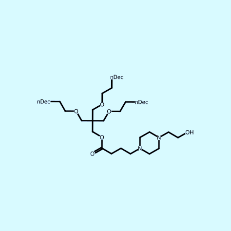 CCCCCCCCCCCCOCC(COCCCCCCCCCCCC)(COCCCCCCCCCCCC)COC(=O)CCCN1CCN(CCO)CC1